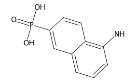 [NH]c1cccc2cc(P(=O)(O)O)ccc12